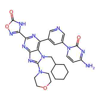 Nc1ccn(-c2cncc(-c3nc(-c4noc(=O)[nH]4)nc4nc(N5CCOCC5)n(CC5CCCCC5)c34)c2)c(=O)n1